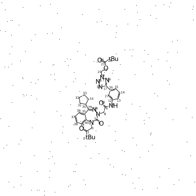 CC(C)(C)C(=O)CN1C(=O)N(CC(=O)Nc2cccc(-c3nnn(COC(=O)C(C)(C)C)n3)c2)N=C(C2CCCC2)c2ccccc21